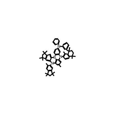 Cc1cc2c3c(c1)N(c1ccc4c(c1C)C(C)(C)CCC4(C)C)c1cc(N(c4ccccc4)c4ccccc4)ccc1B3c1cc3c(cc1N2c1cc2c(cc1C)C(C)(C)CC2(C)C)C(C)(C)CC3(C)C